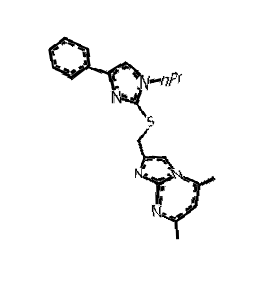 CCCn1cc(-c2ccccc2)nc1SCc1cn2c(C)cc(C)nc2n1